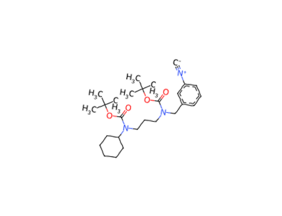 [C-]#[N+]c1cccc(CN(CCCN(C(=O)OC(C)(C)C)C2CCCCC2)C(=O)OC(C)(C)C)c1